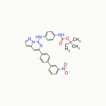 CC(C)(C)OC(=O)Nc1ccc(Nc2nc(-c3ccc(-c4cccc([N+](=O)[O-])c4)cc3)cc3ccnn23)cc1